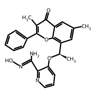 Cc1cc([C@@H](C)Oc2cccnc2C(N)=NO)c2oc(-c3ccccc3)c(C)c(=O)c2c1